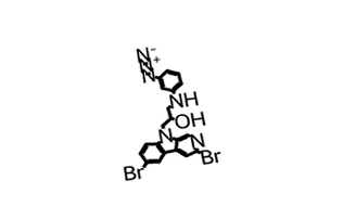 [N-]=[N+]=Nc1cccc(NCC(O)Cn2c3ccc(Br)cc3c3cc(Br)ncc32)c1